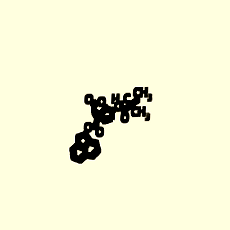 CCC(C)(C)C(=O)OC1C2CC3C1OC(=O)C3C2C(=O)OC1Cc2cccc3cccc1c23